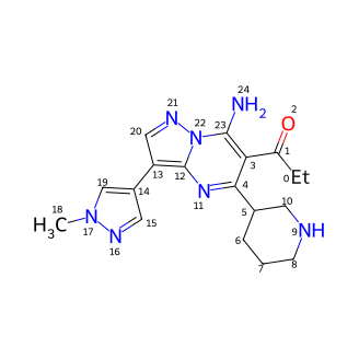 CCC(=O)c1c(C2CCCNC2)nc2c(-c3cnn(C)c3)cnn2c1N